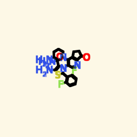 NC(=O)C1=C(N)SC(c2c(F)cccc2F)N1c1cnc2c(c1N1CCC[C@H](N)C1)CCC2=O